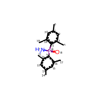 Cc1cc(C)c(P(N)(=O)c2c(C)cc(C)cc2C)c(C)c1